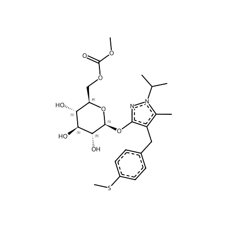 COC(=O)OC[C@H]1O[C@@H](Oc2nn(C(C)C)c(C)c2Cc2ccc(SC)cc2)[C@H](O)[C@@H](O)[C@@H]1O